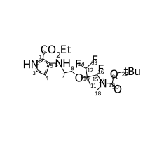 CCOC(=O)c1[nH]ccc1NCCOC(C)(C(F)F)C(F)N(C)C(=O)OC(C)(C)C